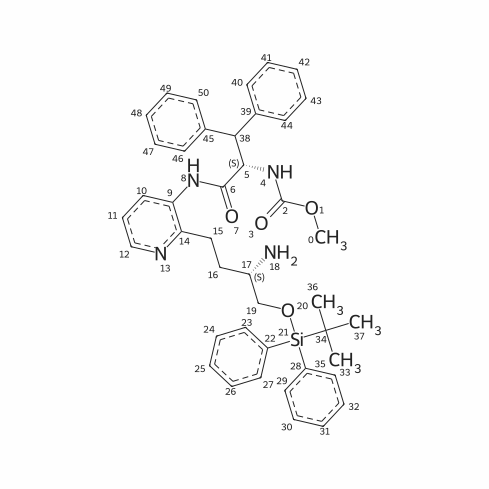 COC(=O)N[C@H](C(=O)Nc1cccnc1CC[C@H](N)CO[Si](c1ccccc1)(c1ccccc1)C(C)(C)C)C(c1ccccc1)c1ccccc1